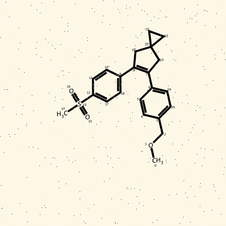 COCc1ccc(C2=C(c3ccc(S(C)(=O)=O)cc3)CC3(CC3)C2)cc1